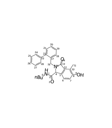 CCCCNC(=O)C1c2ccc(O)c(C)c2C(=O)N1Cc1ccccc1-c1ccccc1